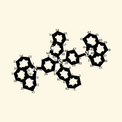 c1ccc2cc([Si](c3ccc(-n4c5cccc6ccc7cccc4c7c65)cc3)(c3ccc(-n4c5cccc6ccc7cccc4c7c65)cc3)c3ccc4ccccc4c3)ccc2c1